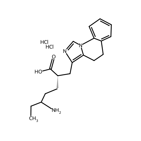 CCC(N)CC[C@@H](Cc1ncn2c1CCc1ccccc1-2)C(=O)O.Cl.Cl